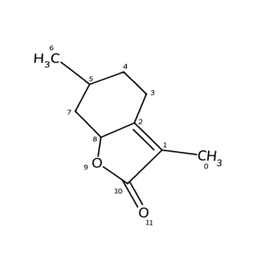 CC1=C2CCC(C)CC2OC1=O